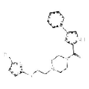 O=C(c1cc(-c2ccccc2)c[nH]1)N1CCN(CCSc2ccc(Br)s2)CC1